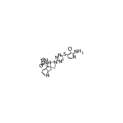 CC(C)(C)[S@@+]([O-])N[C@@H]1c2cccnc2CC12CCN(c1ncc(Sc3ccnc(N)c3Cl)nn1)CC2